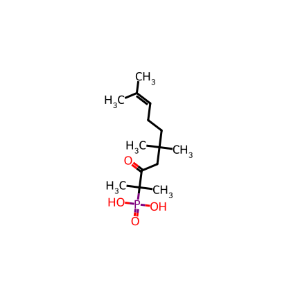 CC(C)=CCCC(C)(C)CC(=O)C(C)(C)P(=O)(O)O